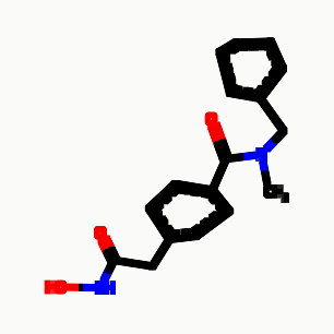 CN(Cc1ccccc1)C(=O)c1ccc(CC(=O)NO)cc1